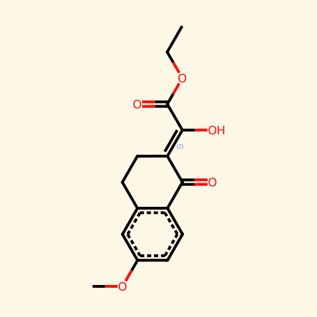 CCOC(=O)/C(O)=C1\CCc2cc(OC)ccc2C1=O